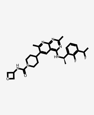 Cc1nc(N[C@H](C)c2cccc(C(C)F)c2F)c2cc(C3CCN(C(=O)NC4COC4)CC3)c(C)nc2n1